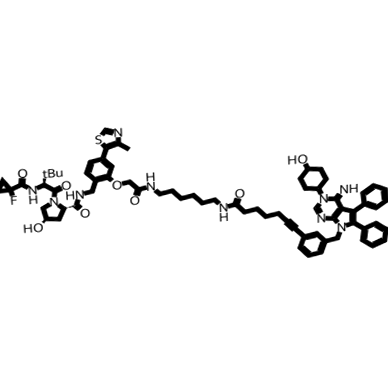 Cc1ncsc1-c1ccc(CNC(=O)[C@@H]2C[C@@H](O)CN2C(=O)[C@@H](NC(=O)C2(F)CC2)C(C)(C)C)c(OCC(=O)NCCCCCCNC(=O)CCCCC#Cc2cccc(Cn3c(-c4ccccc4)c(-c4ccccc4)c4c(=N)n(C5CCC(O)CC5)cnc43)c2)c1